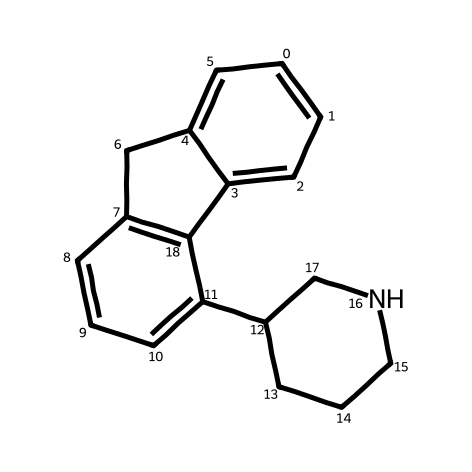 c1ccc2c(c1)Cc1cccc(C3CCCNC3)c1-2